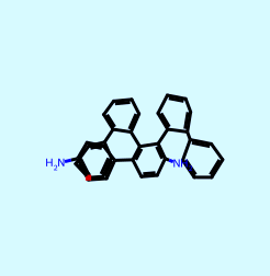 Nc1ccc(-c2ccc(N)c(-c3ccccc3-c3ccccc3)c2-c2ccccc2-c2ccccc2)cc1